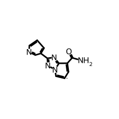 NC(=O)c1c[c]cn2nc(-c3cccnc3)nc12